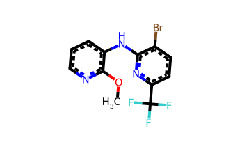 COc1ncccc1Nc1nc(C(F)(F)F)ccc1Br